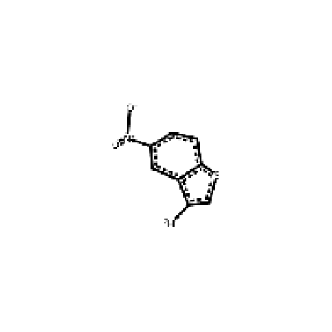 [2H]c1csc2ccc([N+](=O)[O-])cc12